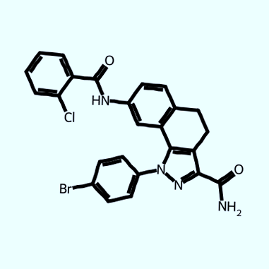 NC(=O)c1nn(-c2ccc(Br)cc2)c2c1CCc1ccc(NC(=O)c3ccccc3Cl)cc1-2